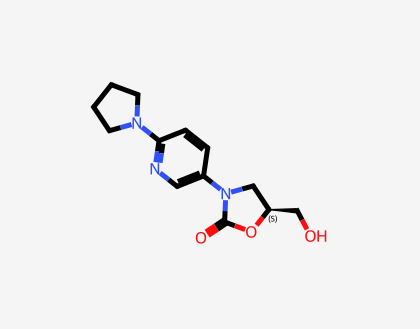 O=C1O[C@H](CO)CN1c1ccc(N2CCCC2)nc1